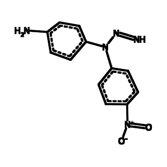 N=NN(c1ccc(N)cc1)c1ccc([N+](=O)[O-])cc1